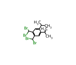 CC(C)c1cc(C(Br)Br)c(C(Br)Br)cc1C(C)C